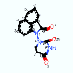 O=C1CCN(N2C(=O)c3cccc4cccc2c34)C(=O)N1